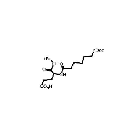 CCCCCCCCCCCCCCCC(=O)NC(CCC(=O)O)C(=O)OC(C)(C)C